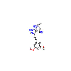 COc1cc(C#Cc2n[nH]c(NC(C)C)c2C#N)cc(OC)c1